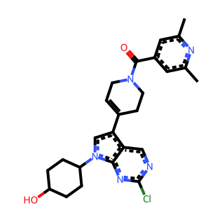 Cc1cc(C(=O)N2CC=C(c3cn(C4CCC(O)CC4)c4nc(Cl)ncc34)CC2)cc(C)n1